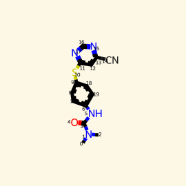 CN(C)C(=O)Nc1ccc(Sc2cc(C#N)ncn2)cc1